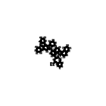 CCC1=c2ccccc2=NC(n2c3ccccc3c3c4ccccc4ccc32)=C(c2ccc(-n3c4ccccc4c4c5c6ccccc6n6c7ccccc7c(cc43)c56)cc2)C1